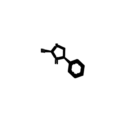 CC[C@@H]1N[C@H](c2ccccc2)CS1